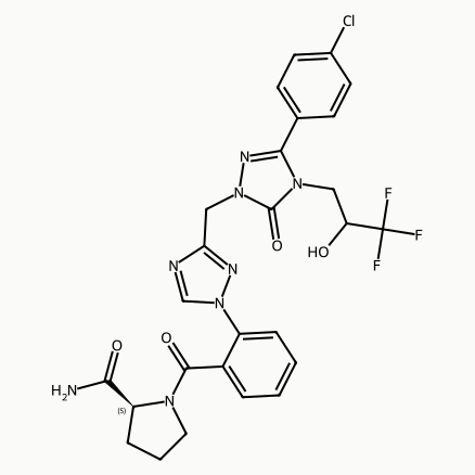 NC(=O)[C@@H]1CCCN1C(=O)c1ccccc1-n1cnc(Cn2nc(-c3ccc(Cl)cc3)n(CC(O)C(F)(F)F)c2=O)n1